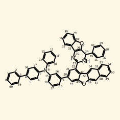 c1ccc(-c2ccc(N(c3ccccc3)c3cccc(-c4cc(C5=Nc6c(oc7ccccc67)C(c6ccccc6)N5)c5c(c4)oc4cc6ccccc6cc45)c3)cc2)cc1